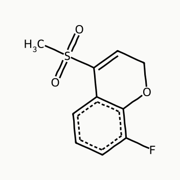 CS(=O)(=O)C1=CCOc2c(F)cccc21